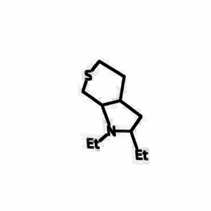 CCC1CC2CCSCC2N1CC